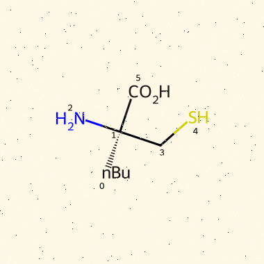 CCCC[C@@](N)(CS)C(=O)O